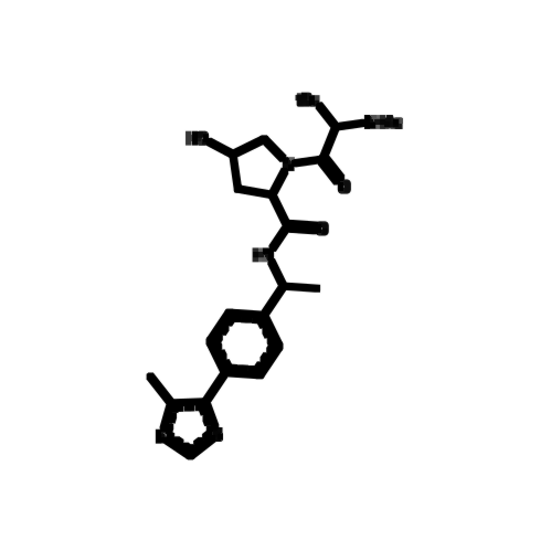 CC(=O)NC(C(=O)N1CC(O)CC1C(=O)NC(C)c1ccc(-c2scnc2C)cc1)C(C)(C)C